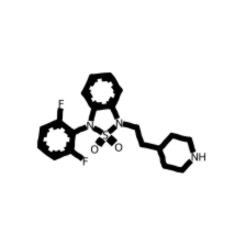 O=S1(=O)N(CCC2CCNCC2)c2ccccc2N1c1c(F)cccc1F